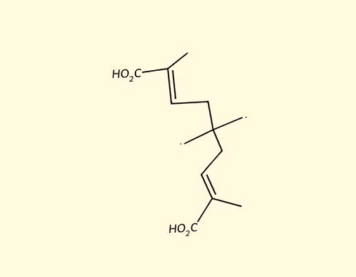 [CH2]C([CH2])(CC=C(C)C(=O)O)CC=C(C)C(=O)O